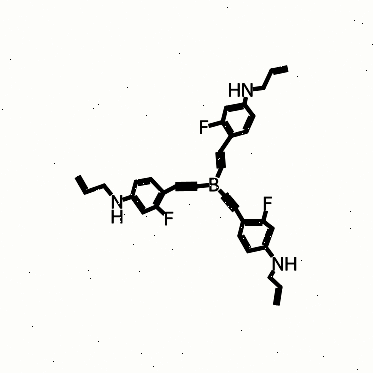 C=CCNc1ccc(C#CB(C#Cc2ccc(NCC=C)cc2F)C#Cc2ccc(NCC=C)cc2F)c(F)c1